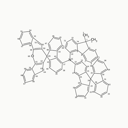 CC1(C)c2ccccc2-c2c(N(c3ccc4c(c3)-c3ccccc3C43c4ccccc4-c4ccccc43)c3cccc4c3-c3ccccc3C43c4ccc5ccccc5c4Oc4c3ccc3ccccc43)cccc21